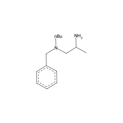 CCCCN(Cc1ccccc1)CC(C)N